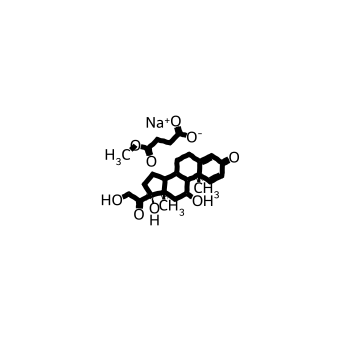 COC(=O)CCC(=O)[O-].C[C@]12C=CC(=O)C=C1CCC1C2C(O)C[C@@]2(C)C1CC[C@]2(O)C(=O)CO.[Na+]